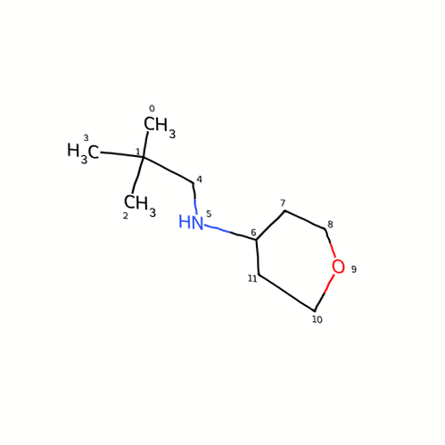 CC(C)(C)CNC1CCOCC1